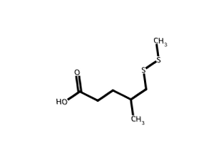 CSSCC(C)CCC(=O)O